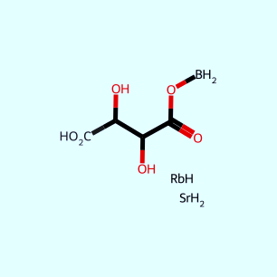 BOC(=O)C(O)C(O)C(=O)O.[RbH].[SrH2]